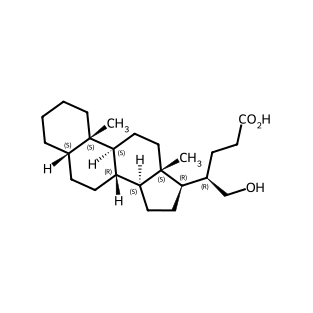 C[C@]12CCCC[C@H]1CC[C@@H]1[C@@H]2CC[C@]2(C)[C@@H]([C@H](CO)CCC(=O)O)CC[C@@H]12